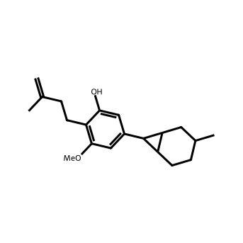 C=C(C)CCc1c(O)cc(C2C3CCC(C)CC32)cc1OC